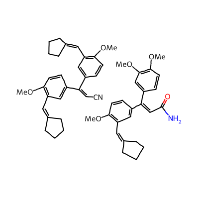 COc1ccc(C(=CC#N)c2ccc(OC)c(C=C3CCCC3)c2)cc1C=C1CCCC1.COc1ccc(C(=CC(N)=O)c2ccc(OC)c(OC)c2)cc1C=C1CCCC1